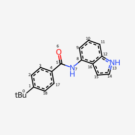 CC(C)(C)c1ccc(C(=O)Nc2cccc3[nH]ccc23)cc1